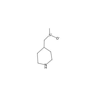 C[S+]([O-])CC1CCNCC1